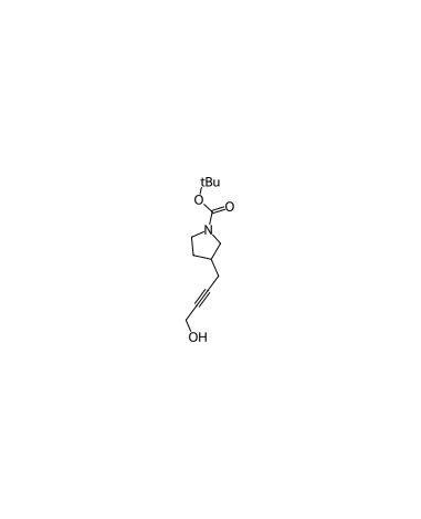 CC(C)(C)OC(=O)N1CCC(CC#CCO)C1